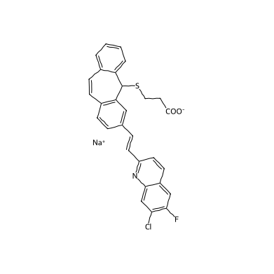 O=C([O-])CCSC1c2ccccc2C=Cc2ccc(/C=C/c3ccc4cc(F)c(Cl)cc4n3)cc21.[Na+]